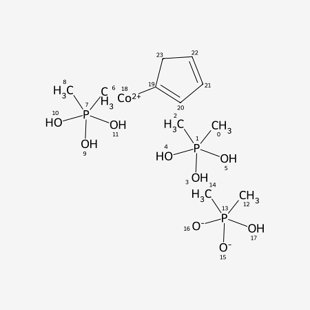 CP(C)(O)(O)O.CP(C)(O)(O)O.CP(C)([O-])([O-])O.[Co+2][C]1=CC=CC1